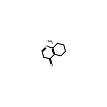 O=C1CC=NC2=C1CCCC2.[PbH2]